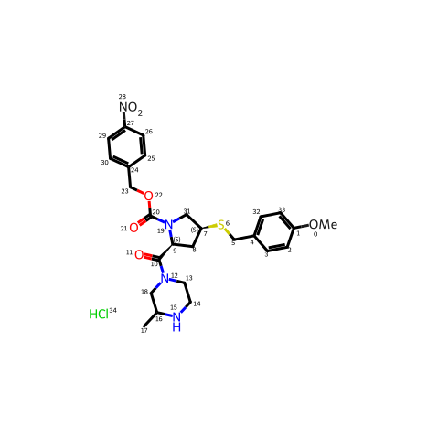 COc1ccc(CS[C@H]2C[C@@H](C(=O)N3CCNC(C)C3)N(C(=O)OCc3ccc([N+](=O)[O-])cc3)C2)cc1.Cl